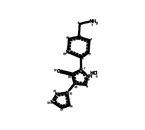 Cl.NCc1ccc(-n2[nH]cc(-n3ccnn3)c2=O)nc1